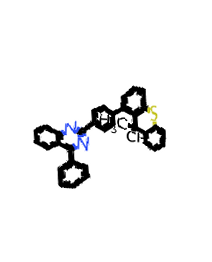 CC1(C)c2ccccc2Sc2cccc(-c3ccc(-c4nc(-c5ccccc5)c5ccccc5n4)cc3)c21